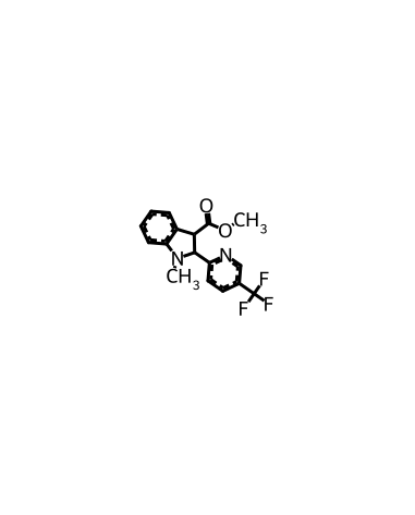 COC(=O)C1c2ccccc2N(C)C1c1ccc(C(F)(F)F)cn1